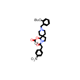 CC(C)COc1ccccc1CN1CCC2(CC1)CCN(C(=O)Cc1ccc([N+](=O)[O-])cc1)C2OC(=O)C(F)(F)F